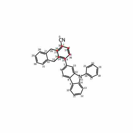 N#Cc1ccc(-c2ccc3c4ccccc4n(-c4ccccc4)c3c2)c2c1C1c3ccccc3C2c2ccccc21